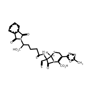 Cc1nnc(C2=C(C(=O)O)N3C(=O)C(C=S)(NC(=S)CCCC(C(=O)O)N4C(=O)c5ccccc5C4=O)[C@@H]3SC2)o1